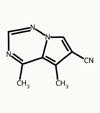 Cc1ncnn2cc(C#N)c(C)c12